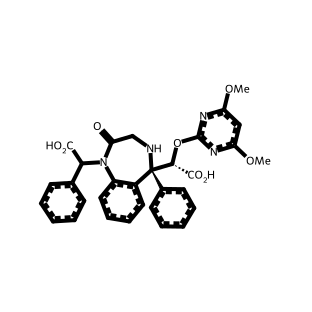 COc1cc(OC)nc(O[C@H](C(=O)O)[C@@]2(c3ccccc3)NCC(=O)N(C(C(=O)O)c3ccccc3)c3ccccc32)n1